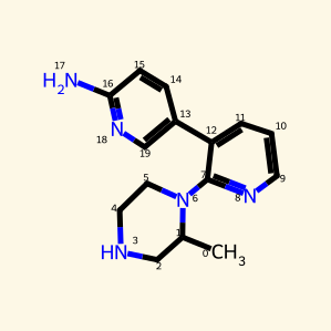 CC1CNCCN1c1ncccc1-c1ccc(N)nc1